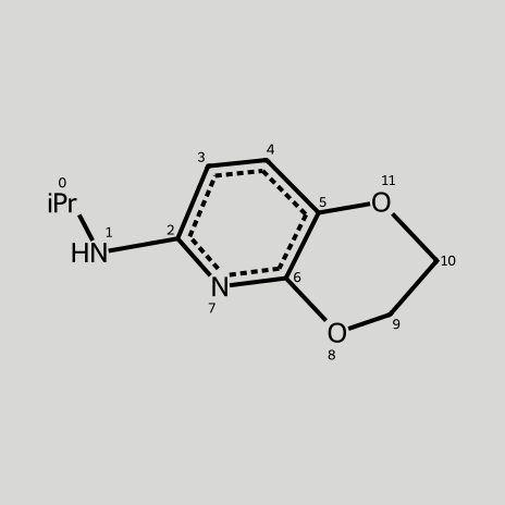 CC(C)Nc1ccc2c(n1)OCCO2